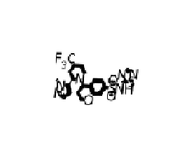 Cn1nccc1[C@H]1C[C@@H](C(F)(F)F)CCN1[C@H]1CCOc2cc(S(=O)(=O)Nc3ncns3)ccc21